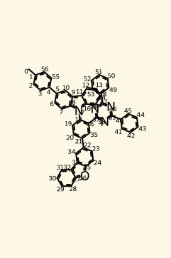 Cc1ccc(-c2ccc3c(c2)c2ccccc2n3-c2ccc(-c3ccc4oc5ccccc5c4c3)cc2-c2nc(-c3ccccc3)nc(-c3ccccc3)n2)cc1